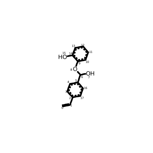 C=Cc1ccc(C(O)Oc2ccccc2O)cc1